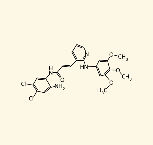 COc1cc(Nc2ncccc2/C=C/C(=O)Nc2cc(Cl)c(Cl)cc2N)cc(OC)c1OC